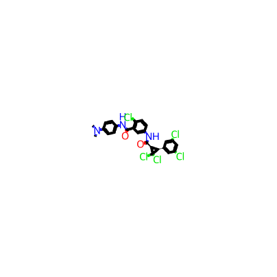 CN(C)c1ccc(NC(=O)c2cc(NC(=O)[C@H]3[C@H](c4cc(Cl)cc(Cl)c4)C3(Cl)Cl)ccc2Cl)cc1